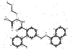 CSCC[C@H](NC(=O)c1ccc(COc2cccc3ccccc23)cc1-c1ccccc1C)C(=O)O